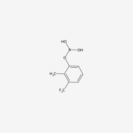 Cc1c(OB(O)O)cccc1C(F)(F)F